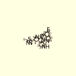 Cc1nnc(-c2ccc(C(=O)N(c3nccc4cc(F)cc(C)c34)[C@@H]3CCCNC3)nc2)s1